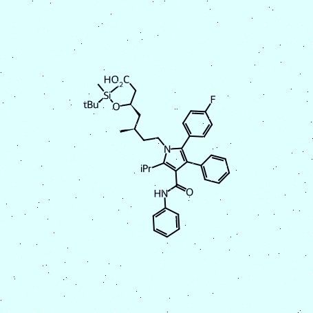 CC(C)c1c(C(=O)Nc2ccccc2)c(-c2ccccc2)c(-c2ccc(F)cc2)n1CC[C@@H](C)C[C@H](CC(=O)O)O[Si](C)(C)C(C)(C)C